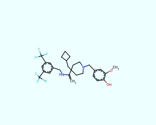 C=C(NCc1cc(C(F)(F)F)cc(C(F)(F)F)c1)C1(CC2CCC2)CCN(Cc2ccc(O)c(OC)c2)CC1